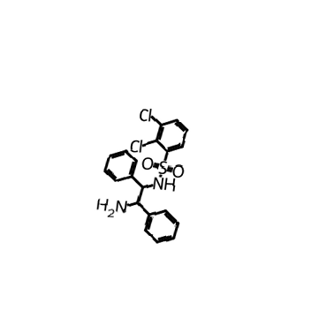 NC(c1ccccc1)C(NS(=O)(=O)c1cccc(Cl)c1Cl)c1ccccc1